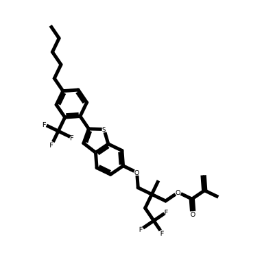 C=C(C)C(=O)OCC(C)(COc1ccc2cc(-c3ccc(CCCCC)cc3C(F)(F)F)sc2c1)CC(F)(F)F